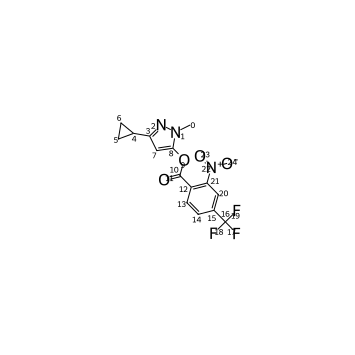 Cn1nc(C2CC2)cc1OC(=O)c1ccc(C(F)(F)F)cc1[N+](=O)[O-]